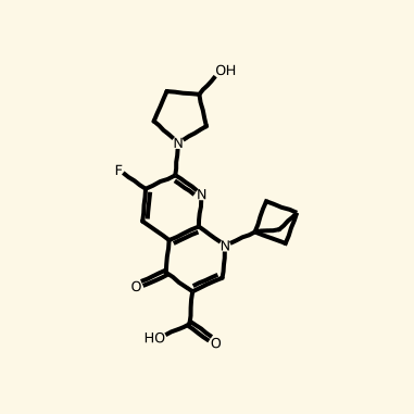 O=C(O)c1cn(C23CC(C2)C3)c2nc(N3CCC(O)C3)c(F)cc2c1=O